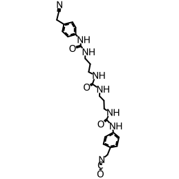 N#CCc1ccc(NC(=O)NCCCNC(=O)NCCCNC(=O)Nc2ccc(CN=C=O)cc2)cc1